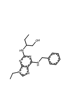 CCC(CO)Nc1nc(NCc2ccccc2)c2ncn(CC)c2n1